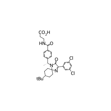 C[C@H](c1ccc(C(=O)NCCC(=O)O)cc1)N1C(=O)C(c2cc(Cl)cc(Cl)c2)=NC12CCC(C(C)(C)C)CC2